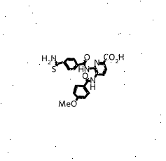 COc1ccc(C(=O)Nc2ccc(C(=O)O)nc2NC(=O)c2ccc(C(N)=S)cc2)cc1